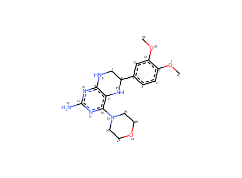 COc1ccc(C2CNc3nc(N)nc(N4CCOCC4)c3N2)cc1OC